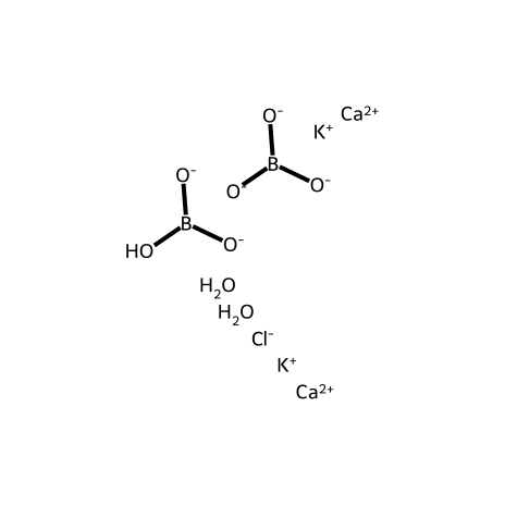 O.O.[Ca+2].[Ca+2].[Cl-].[K+].[K+].[O-]B([O-])O.[O-]B([O-])[O-]